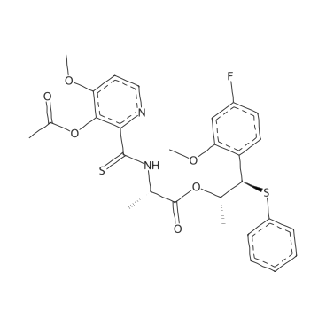 COc1cc(F)ccc1[C@@H](Sc1ccccc1)[C@H](C)OC(=O)[C@H](C)NC(=S)c1nccc(OC)c1OC(C)=O